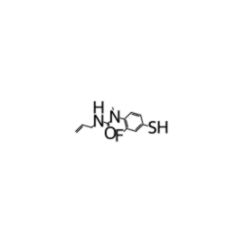 C=CCNC(=O)N(C)c1ccc(S)cc1F